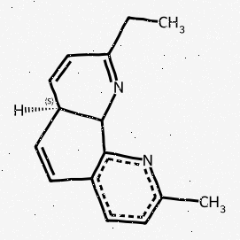 CCC1=NC2c3nc(C)ccc3C=C[C@H]2C=C1